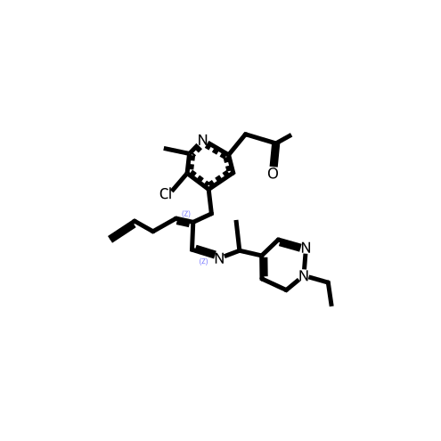 C=CC/C=C(\C=N/C(C)C1=CCN(CC)N=C1)Cc1cc(CC(C)=O)nc(C)c1Cl